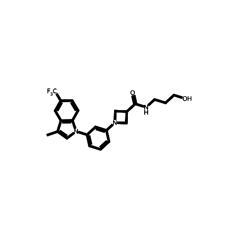 Cc1cn(-c2cccc(N3CC(C(=O)NCCCO)C3)c2)c2ccc(C(F)(F)F)cc12